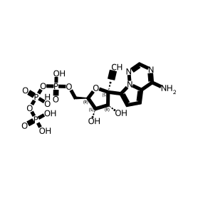 C#C[C@@]1(c2ccc3c(N)ncnn23)O[C@H](COP(=O)(O)OP(=O)(O)OP(=O)(O)O)[C@@H](O)[C@H]1O